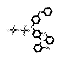 Cc1ccccc1[S+](c1ccc(Oc2ccc([I+]c3ccccc3)cc2)cc1)c1ccccc1C.O=S(=O)([O-])C(F)(F)F.O=S(=O)([O-])C(F)(F)F